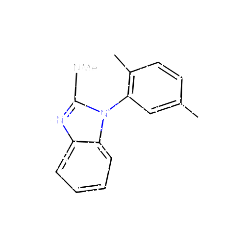 CNc1nc2ccccc2n1-c1cc(C)ccc1C